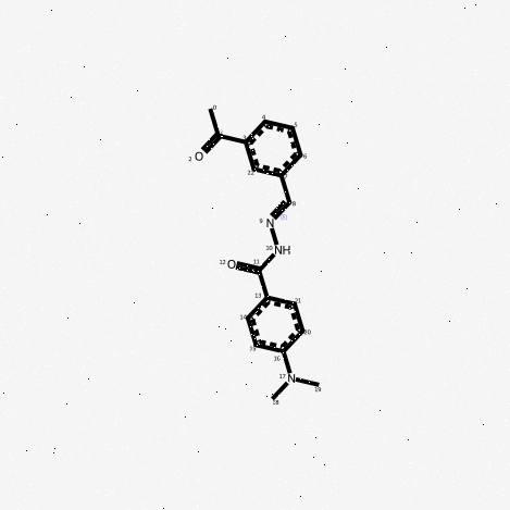 CC(=O)c1cccc(/C=N/NC(=O)c2ccc(N(C)C)cc2)c1